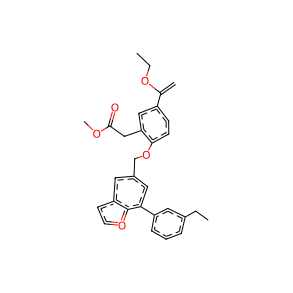 C=C(OCC)c1ccc(OCc2cc(-c3cccc(CC)c3)c3occc3c2)c(CC(=O)OC)c1